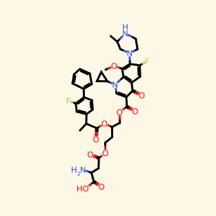 COc1c(N2CCNC(C)C2)c(F)cc2c(=O)c(C(=O)OCC(CCOC(=O)CC(N)C(=O)O)OC(=O)C(C)c3ccc(-c4ccccc4)c(F)c3)cn(C3CC3)c12